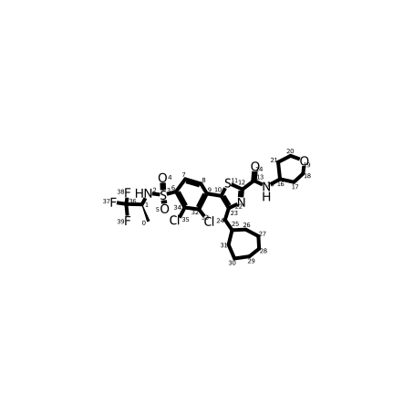 C[C@H](NS(=O)(=O)c1ccc(-c2sc(C(=O)NC3CCOCC3)nc2CC2CCCCCC2)c(Cl)c1Cl)C(F)(F)F